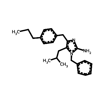 CCCc1ccc(Cc2nc(N)n(Cc3ccccc3)c2CC(C)C)cc1